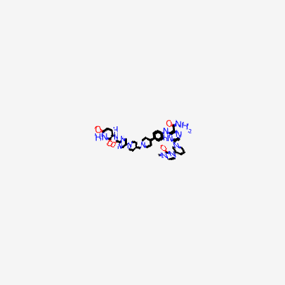 CN1CCN([C@@H]2CCCN(c3cnc(C(N)=O)c(Nc4ccc(C5CCN(CC6CCN(c7cnc(C(=O)N[C@@H]8CCC(=O)NC8=O)nc7)CC6)CC5)cc4)n3)C2)C1=O